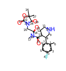 Cc1cc(F)ccc1C1CNCCC1C(=O)N(C)C(=O)CN1C(=O)OC(C)(C)C1=O